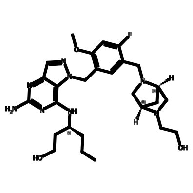 CCC[C@@H](CCO)Nc1nc(N)nc2cnn(Cc3cc(CN4C[C@H]5C[C@@H]4CN5CCO)c(F)cc3OC)c12